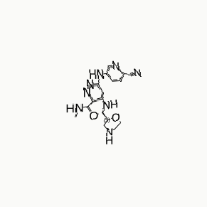 CNC(=O)c1nnc(Nc2ccc(C#N)nc2)cc1NC[C@@H]1CNCCO1